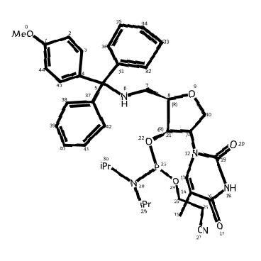 COc1ccc(C(NC[C@H]2OCC(n3cc(C)c(=O)[nH]c3=O)[C@H]2OP(OCCC#N)N(C(C)C)C(C)C)(c2ccccc2)c2ccccc2)cc1